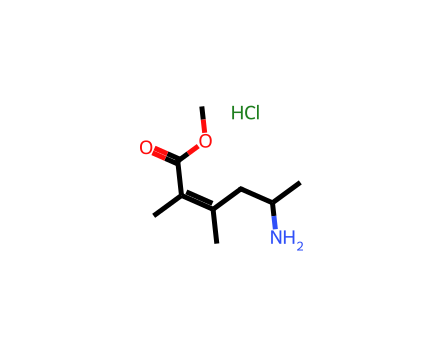 COC(=O)C(C)=C(C)CC(C)N.Cl